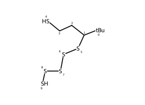 CC(C)(C)C(CCS)SSSSS